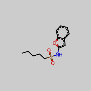 CCCCCS(=O)(=O)Nc1cc2ccccc2o1